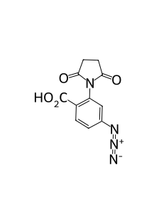 [N-]=[N+]=Nc1ccc(C(=O)O)c(N2C(=O)CCC2=O)c1